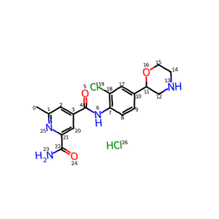 Cc1cc(C(=O)Nc2ccc(C3CNCCO3)cc2Cl)cc(C(N)=O)n1.Cl